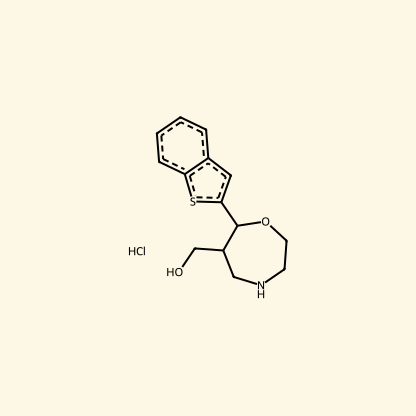 Cl.OCC1CNCCOC1c1cc2ccccc2s1